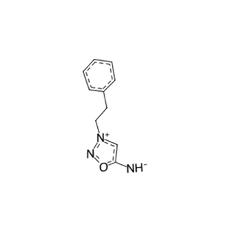 [NH-]c1c[n+](CCc2ccccc2)no1